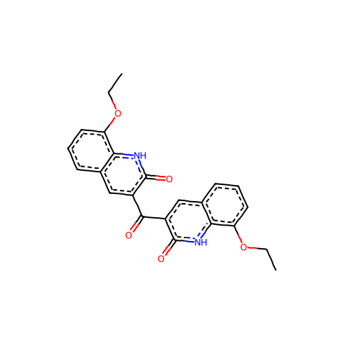 CCOc1cccc2cc(C(=O)c3cc4cccc(OCC)c4[nH]c3=O)c(=O)[nH]c12